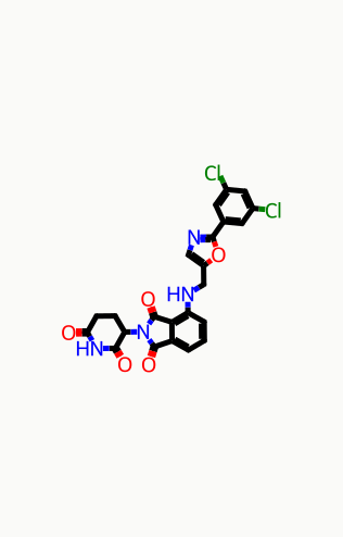 O=C1CCC(N2C(=O)c3cccc(NCc4cnc(-c5cc(Cl)cc(Cl)c5)o4)c3C2=O)C(=O)N1